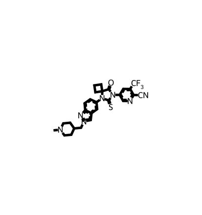 CN1CCC(Cn2cc3cc(N4C(=S)N(c5cnc(C#N)c(C(F)(F)F)c5)C(=O)C45CCC5)ccc3n2)CC1